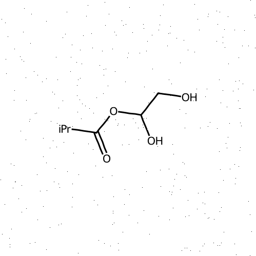 CC(C)C(=O)OC(O)CO